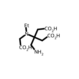 CCN(CC(=O)O)C(CN)(CC(=O)O)CC(=O)O